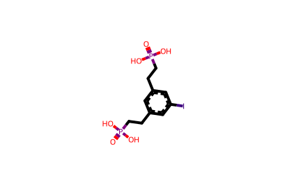 O=P(O)(O)CCc1cc(I)cc(CCP(=O)(O)O)c1